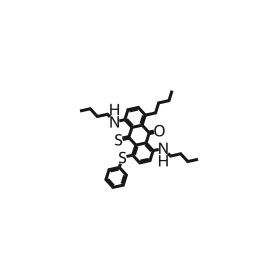 CCCCNc1ccc(CCCC)c2c1C(=S)c1c(Sc3ccccc3)ccc(NCCCC)c1C2=O